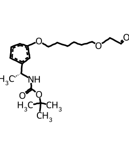 C[C@@H](NC(=O)OC(C)(C)C)c1cccc(OCCCCCCOCC=O)c1